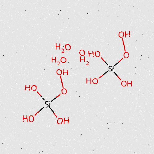 O.O.O.OO[Si](O)(O)O.OO[Si](O)(O)O